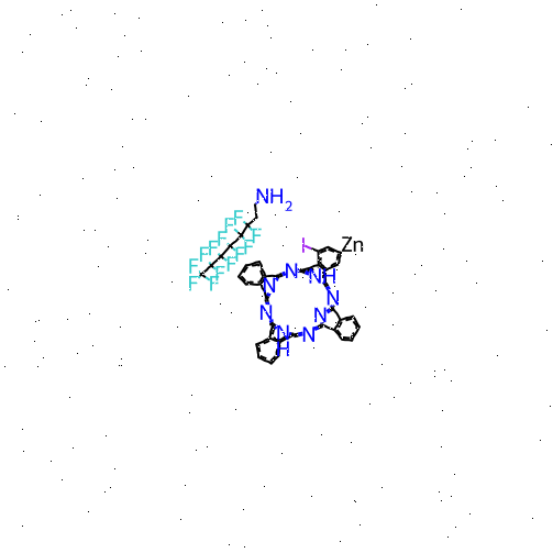 Ic1cccc2c3nc4nc(nc5[nH]c(nc6nc(nc([nH]3)c12)-c1ccccc1-6)c1ccccc51)-c1ccccc1-4.NCCC(F)(F)C(F)(F)C(F)(F)C(F)(F)C(F)(F)C(F)(F)F.[Zn]